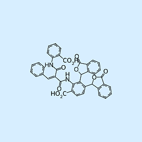 O=C(Nc1ccccc1C(=O)O)C(=Cc1ccccc1)C(=O)Nc1c(C(=O)O)ccc(C2OC(=O)c3ccccc32)c1C1OC(=O)c2ccccc21